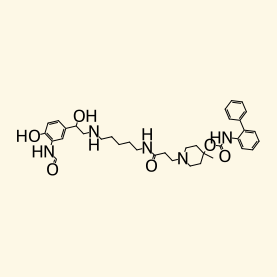 CC1(OC(=O)Nc2ccccc2-c2ccccc2)CCN(CCC(=O)NCCCCCNCC(O)c2ccc(O)c(NC=O)c2)CC1